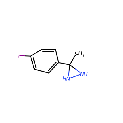 CC1(c2ccc(I)cc2)NN1